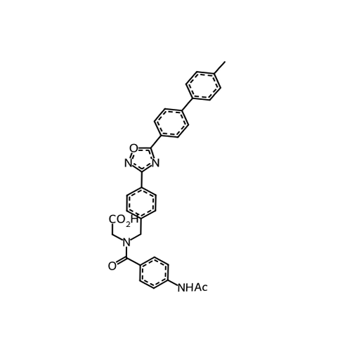 CC(=O)Nc1ccc(C(=O)N(CC(=O)O)Cc2ccc(-c3noc(-c4ccc(-c5ccc(C)cc5)cc4)n3)cc2)cc1